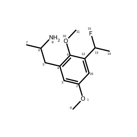 COc1cc(CC(C)N)c(OC)c(C(C)F)c1